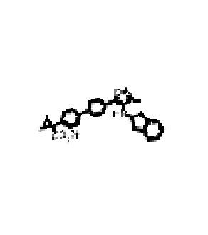 CCOC(=O)C1(c2ccc(-c3ccc(-c4onc(C)c4NC4Cc5ccccc5C4)cc3)cc2)CC1